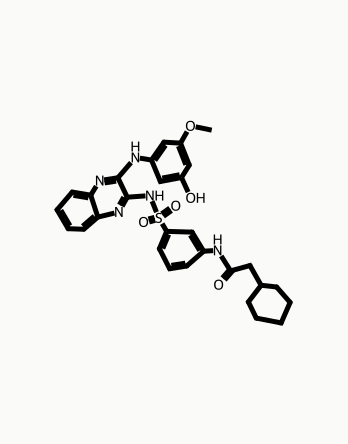 COc1cc(O)cc(Nc2nc3ccccc3nc2NS(=O)(=O)c2cccc(NC(=O)CC3CCCCC3)c2)c1